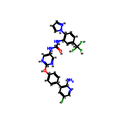 Nc1ncc(F)cc1-c1ccc(Oc2ncc(NC(=O)Nc3cc(C(F)(F)F)ccc3-n3cccn3)cn2)cc1